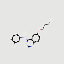 Fc1ccc(Nc2ncnc3ccc(OCCCCl)cc23)cc1Cl